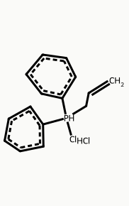 C=CC[PH](Cl)(c1ccccc1)c1ccccc1.Cl